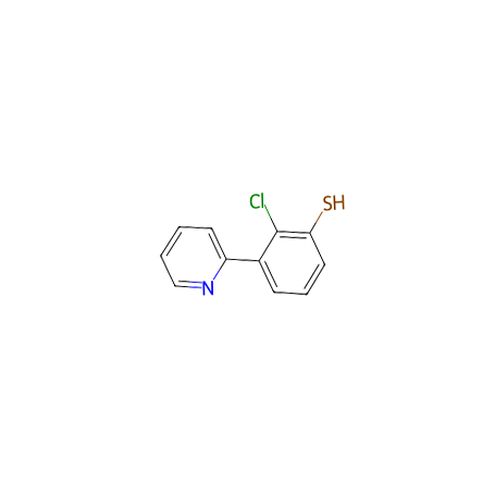 Sc1cccc(-c2ccccn2)c1Cl